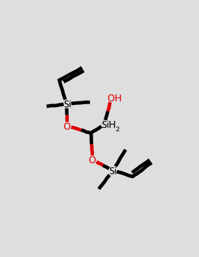 C=C[Si](C)(C)OC(O[Si](C)(C)C=C)[SiH2]O